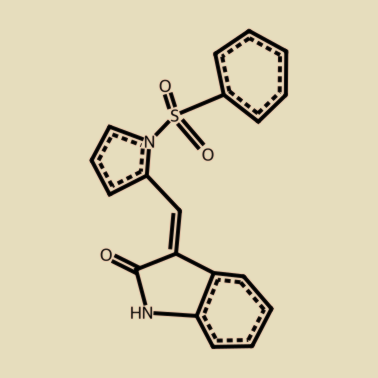 O=C1Nc2ccccc2C1=Cc1cccn1S(=O)(=O)c1ccccc1